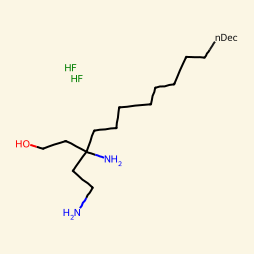 CCCCCCCCCCCCCCCCCCC(N)(CCN)CCO.F.F